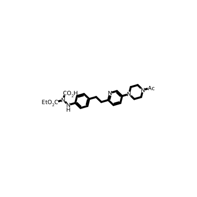 CCOC(=O)N(Nc1ccc(CCc2ccc(N3CCN(C(C)=O)CC3)cn2)cc1)C(=O)O